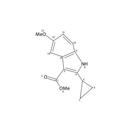 COC(=O)c1c(C2CC2)[nH]c2ccc(OC)cc12